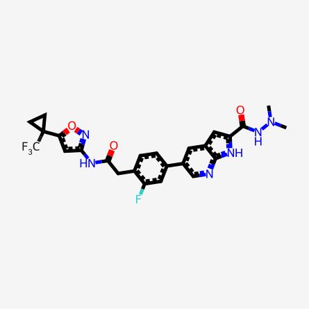 CN(C)NC(=O)c1cc2cc(-c3ccc(CC(=O)Nc4cc(C5(C(F)(F)F)CC5)on4)c(F)c3)cnc2[nH]1